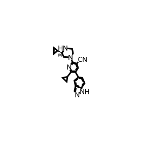 N#Cc1cc(-c2ccc3[nH]ncc3c2)c(C2CC2)nc1N1CCN[C@H](C2CC2)C1